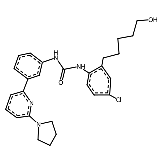 O=C(Nc1cccc(-c2cccc(N3CCCC3)n2)c1)Nc1ccc(Cl)cc1CCCCCO